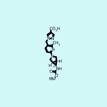 Cc1nc(N2C[C@@H]3[C@H](C2)[C@H]3NC(=O)OC(C)(C)C)ccc1Cn1cc(C(=O)O)cn1